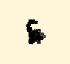 CNCCOc1ccc(-c2sc3nc(-c4cccs4)nc(NC4=C(C)C(=O)NC4=O)c3c2C)cc1.Cl